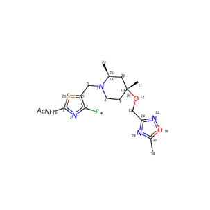 CC(=O)Nc1nc(F)c(CN2CC[C@@](C)(OCc3noc(C)n3)C[C@@H]2C)s1